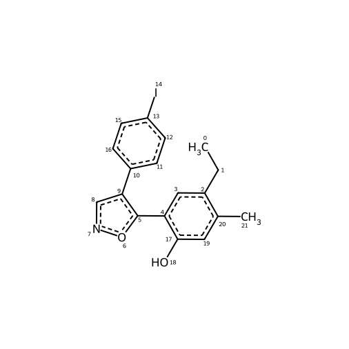 CCc1cc(-c2oncc2-c2ccc(I)cc2)c(O)cc1C